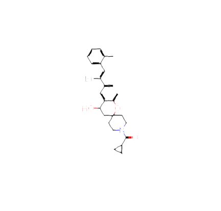 C=C1OC2(CCN(C(=O)C3CC3)CC2)CC(O)/C1=C/C(=C)/C(=C/c1ccccc1C)CC